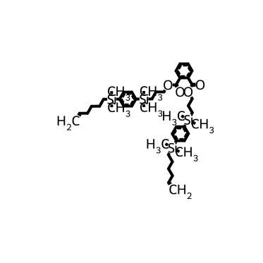 C=CCCCC[Si](C)(C)c1ccc([Si](C)(C)CCCOC(=O)c2ccccc2C(=O)OCCC[Si](C)(C)c2ccc([Si](C)(C)CCCCC=C)cc2)cc1